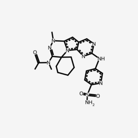 CC(=O)N(C)C1=NN(C)c2cc3cnc(Nc4ccc(S(N)(=O)=O)nc4)nc3n2C12CCCCC2